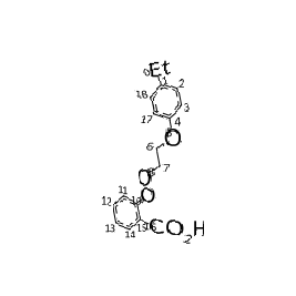 CCc1ccc(OCCOOc2ccccc2C(=O)O)cc1